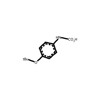 CC(C)(C)Oc1ccc(NC(=O)O)cc1